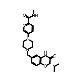 CNC(=O)c1ccc(N2CCN(Cc3ccc4c(c3)NC(=O)[C@H](C(C)C)O4)CC2)cn1